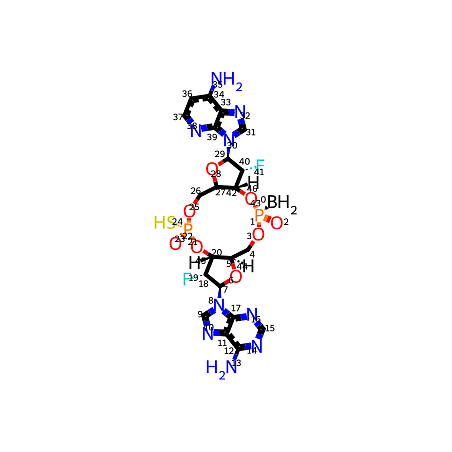 B[P@@]1(=O)OC[C@H]2O[C@@H](n3cnc4c(N)ncnc43)[C@H](F)[C@@H]2O[P@](=O)(S)OCC2O[C@@H](n3cnc4c(N)ccnc43)[C@H](F)[C@@H]2O1